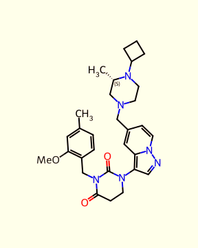 COc1cc(C)ccc1CN1C(=O)CCN(c2cnn3ccc(CN4CCN(C5CCC5)[C@@H](C)C4)cc23)C1=O